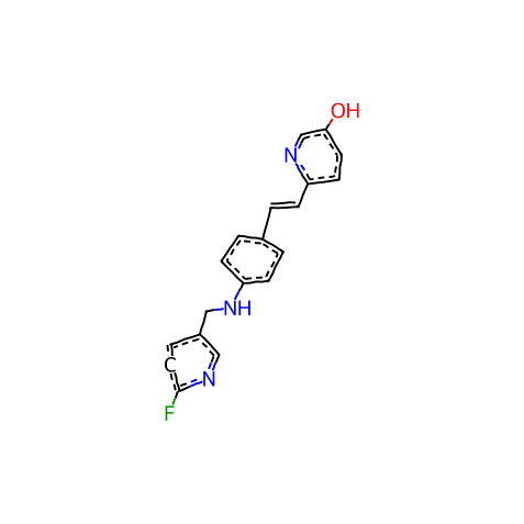 Oc1ccc(/C=C/c2ccc(NCc3ccc(F)nc3)cc2)nc1